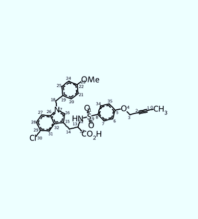 CC#CCOc1ccc(S(=O)(=O)NC(Cc2cn(Cc3ccc(OC)cc3)c3ccc(Cl)cc23)C(=O)O)cc1